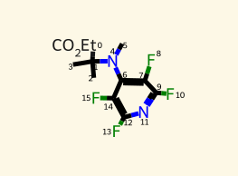 CCOC(=O)C(C)(C)N(C)c1c(F)c(F)nc(F)c1F